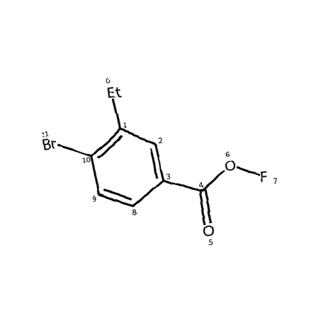 CCc1cc(C(=O)OF)ccc1Br